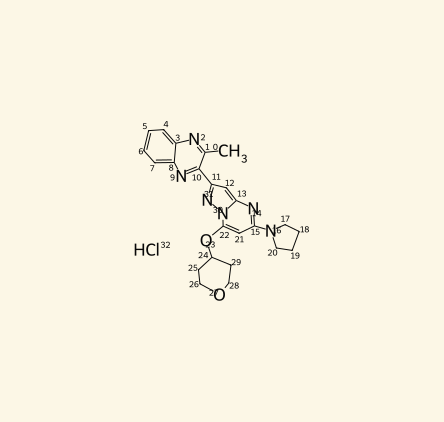 Cc1nc2ccccc2nc1-c1cc2nc(N3CCCC3)cc(OC3CCOCC3)n2n1.Cl